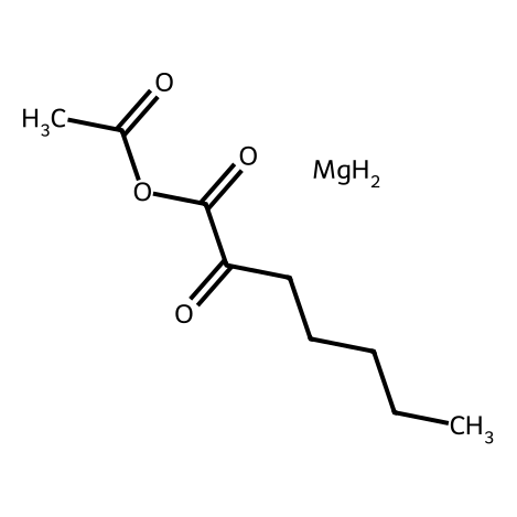 CCCCCC(=O)C(=O)OC(C)=O.[MgH2]